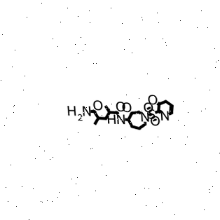 C[C](CC(C)C(N)=O)C(=O)NC1CCCN(S(=O)(=O)C2=NC=CCC2=O)CC1=O